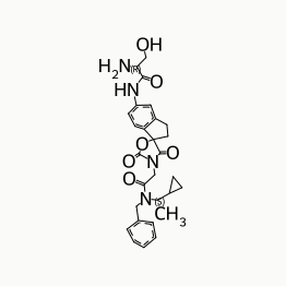 C[C@@H](C1CC1)N(Cc1ccccc1)C(=O)CN1C(=O)OC2(CCc3cc(NC(=O)[C@H](N)CO)ccc32)C1=O